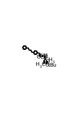 C[C@@H](CN(C)C(=O)OC(C)(C)C)C(=O)ONC(=O)Cc1ccc(CCCCc2ccccc2)cc1